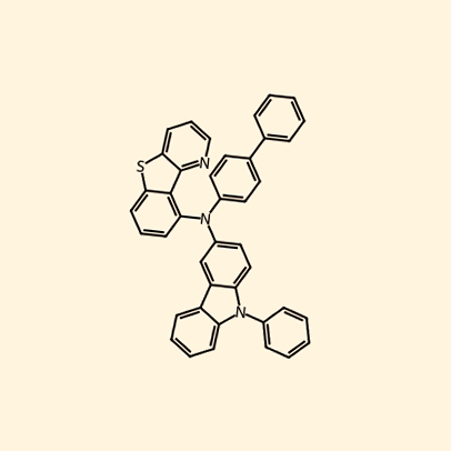 c1ccc(-c2ccc(N(c3ccc4c(c3)c3ccccc3n4-c3ccccc3)c3cccc4sc5cccnc5c34)cc2)cc1